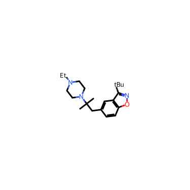 CCN1CCN(C(C)(C)Cc2ccc3onc(C(C)(C)C)c3c2)CC1